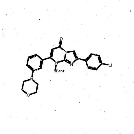 CCCCCn1c(-c2cccc(N3CCOCC3)c2)cc(=O)n2cc(-c3ccc(Cl)cc3)nc12